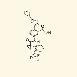 O=C(O)c1cc(NC(=O)C2(c3ccccc3OC(F)(F)F)CC2)ccc1-c1cn(C2CCC2)cn1